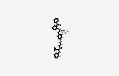 O=C(c1ccccc1)c1ccccc1N[C@@H](Cc1ccc(OCCCNC(Cc2ccccc2)C2CC2)cc1)C(=O)O